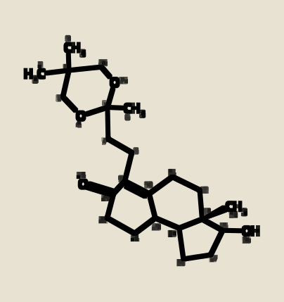 CC1(C)COC(C)(CCC2=C3CC[C@]4(C)C(O)CCC4C3CCC2=O)OC1